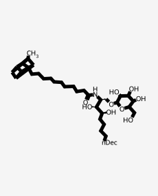 CCCCCCCCCCCCCC[C@H](O)[C@H](O)[C@@H](COC1OC(CO)C(O)C(O)C1O)NC(=O)CCCCCCCCCCC12C3C4C5C3C1C5(C)C42